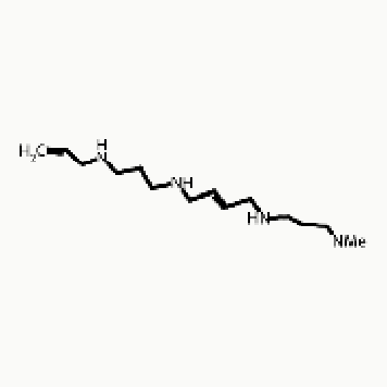 C=CCNCCCNC/C=C/CNCCCNC